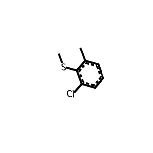 CSc1c(C)cccc1Cl